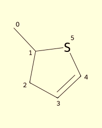 CC1CC=CS1